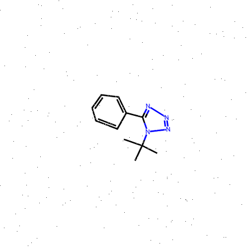 CC(C)(C)n1nnnc1-c1ccccc1